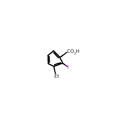 CCc1cccc(C(=O)O)c1I